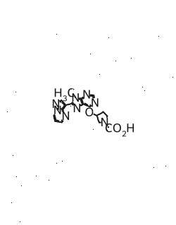 Cn1c(-c2cnn3cccnc23)nc2c(OC3CCN(C(=O)O)C3)ncnc21